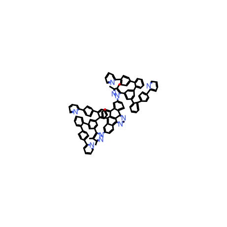 Cc1nn(-c2ccc3c(c2)c2cccc4c5cc(-n6nc(C)c(C)c6-c6cc(-c7ccccc7-c7ccc(-c8ccccn8)cc7)cc(-c7ccccc7-c7ccc(-c8ccccn8)cc7)c6)ccc5c5ncnc3c5c24)c(-c2cc(-c3ccccc3-c3ccc(-c4ccccn4)cc3)cc(-c3ccccc3-c3ccc(-c4ccccn4)cc3)c2)c1C